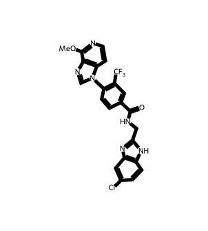 COc1nccc2c1ncn2-c1ccc(C(=O)NCc2nc3cc(Cl)ccc3[nH]2)cc1C(F)(F)F